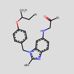 CCCCc1nc2ccc(NCC(=O)CC)cc2n1Cc1ccc(OC(CC(C)C)C(=O)O)cc1